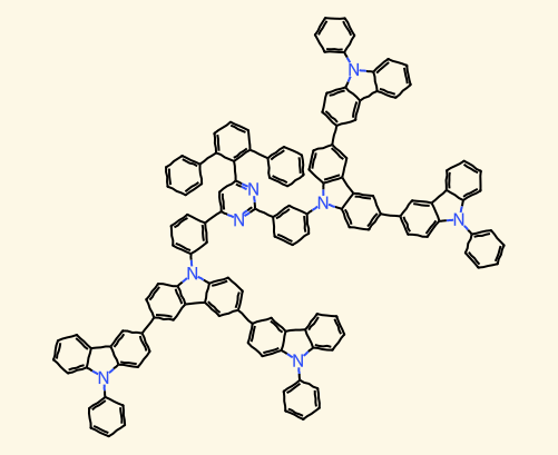 c1ccc(-c2cccc(-c3ccccc3)c2-c2cc(-c3cccc(-n4c5ccc(-c6ccc7c(c6)c6ccccc6n7-c6ccccc6)cc5c5cc(-c6ccc7c(c6)c6ccccc6n7-c6ccccc6)ccc54)c3)nc(-c3cccc(-n4c5ccc(-c6ccc7c(c6)c6ccccc6n7-c6ccccc6)cc5c5cc(-c6ccc7c(c6)c6ccccc6n7-c6ccccc6)ccc54)c3)n2)cc1